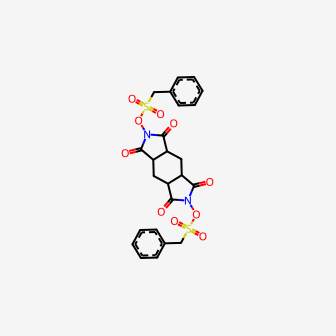 O=C1C2CC3C(=O)N(OS(=O)(=O)Cc4ccccc4)C(=O)C3CC2C(=O)N1OS(=O)(=O)Cc1ccccc1